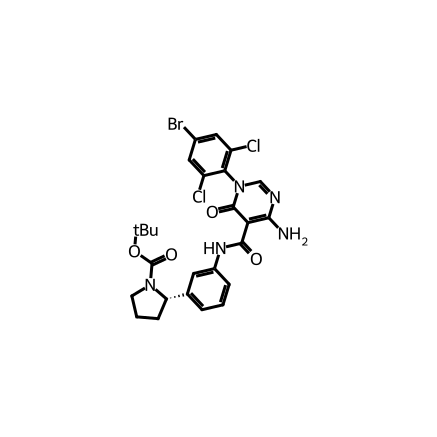 CC(C)(C)OC(=O)N1CCC[C@H]1c1cccc(NC(=O)c2c(N)ncn(-c3c(Cl)cc(Br)cc3Cl)c2=O)c1